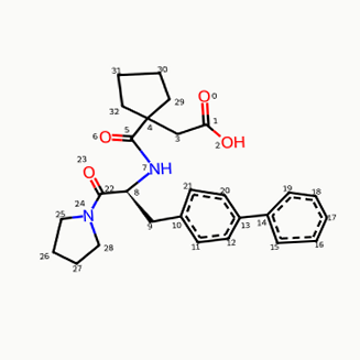 O=C(O)CC1(C(=O)N[C@@H](Cc2ccc(-c3ccccc3)cc2)C(=O)N2CCCC2)CCCC1